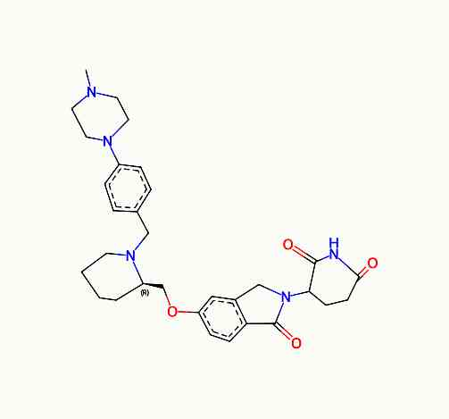 CN1CCN(c2ccc(CN3CCCC[C@@H]3COc3ccc4c(c3)CN(C3CCC(=O)NC3=O)C4=O)cc2)CC1